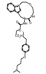 CN(C)CCCOc1ccc(CCC[C@H](CC(=O)O)C(=O)N[C@H]2Cc3cn(c4ccccc34)CCOCCNC2=O)cc1